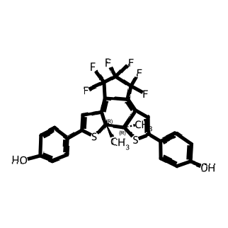 C[C@@]12SC(c3ccc(O)cc3)=CC1=C1C(=C3C=C(c4ccc(O)cc4)S[C@]32C)C(F)(F)C(F)(F)C1(F)F